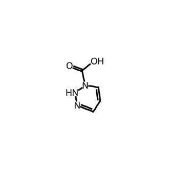 O=C(O)N1C=CC=NN1